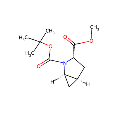 COC(=O)[C@@H]1C[C@H]2C[C@H]2N1C(=O)OC(C)(C)C